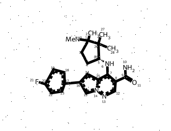 CNC1(C)CC[C@@H](Nc2c(C(N)=O)cnn3cc(-c4ccc(F)cc4)cc23)C1(C)C